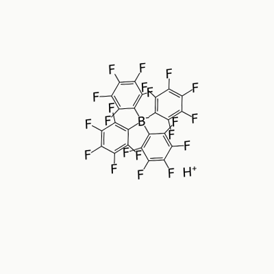 Fc1c(F)c(F)c([B-](c2c(F)c(F)c(F)c(F)c2F)(c2c(F)c(F)c(F)c(F)c2F)c2c(F)c(F)c(F)c(F)c2F)c(F)c1F.[H+]